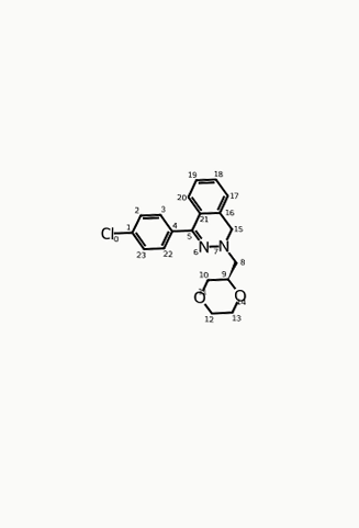 Clc1ccc(C2=NN(C[C@@H]3COCCO3)Cc3ccccc32)cc1